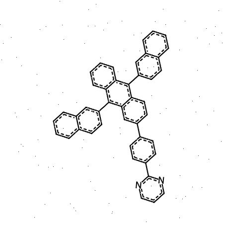 c1cnc(-c2ccc(-c3ccc4c(-c5ccc6ccccc6c5)c5ccccc5c(-c5ccc6ccccc6c5)c4c3)cc2)nc1